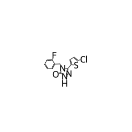 O=c1[nH]nc(-c2ccc(Cl)s2)n1Cc1ccccc1F